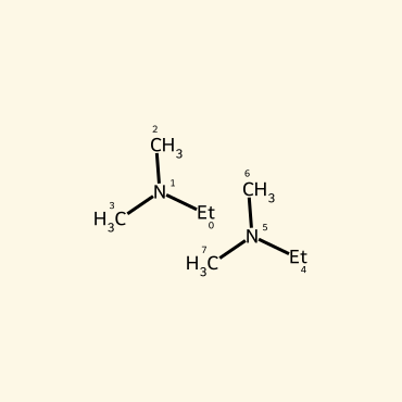 CCN(C)C.CCN(C)C